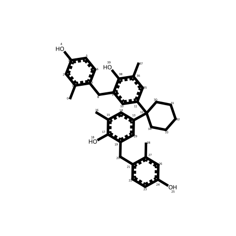 Cc1cc(O)ccc1Cc1cc(C2(c3cc(C)c(O)c(Cc4ccc(O)cc4C)c3)CCCCC2)cc(C)c1O